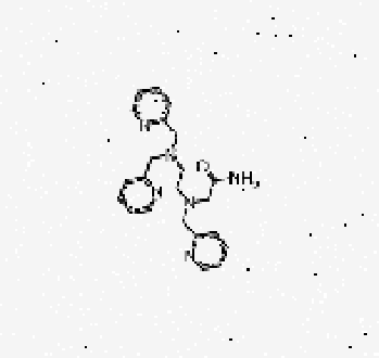 NC(=O)CN(CCN(Cc1ccccn1)Cc1ccccn1)Cc1ccccn1